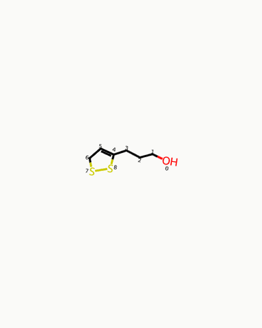 OCCCC1=CCSS1